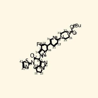 CN(C(=O)C(c1ncn2c1CCC2)n1cc2c(F)cc(-c3ccc(N4CCN(C(=O)OC(C)(C)C)CC4)nc3)cc2n1)c1nccs1